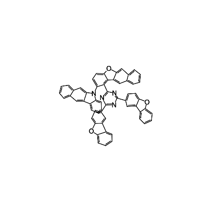 c1ccc2cc3c(cc2c1)oc1ccc(-n2c4ccccc4c4cc5ccccc5cc42)c(-c2nc(-c4ccc5oc6ccccc6c5c4)nc(-c4ccc5oc6ccccc6c5c4)n2)c13